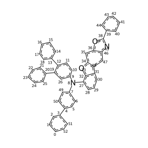 c1ccc(-c2ccc(N(c3ccc(-c4ccccc4)c(-c4ccccc4)c3)c3cccc4c3oc3cc5oc(-c6ccccc6)nc5cc34)cc2)cc1